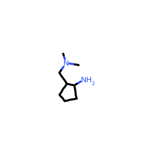 CN(C)CC1CCCC1N